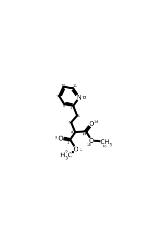 COC(=O)C(CCc1ccccn1)C(=O)OC